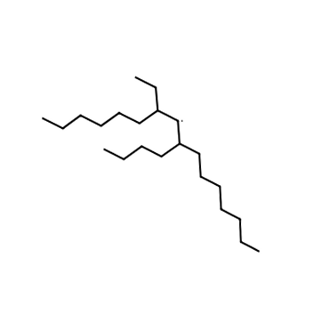 CCCCCCCC([CH]C(CC)CCCCCC)CCCC